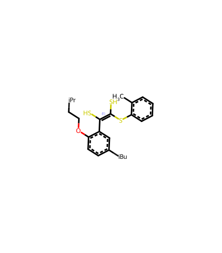 CCC(C)c1ccc(OCCC(C)C)c(/C(S)=C(/S)Sc2ccccc2C)c1